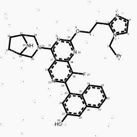 CC(C)Cn1ccnc1CCOc1nc(N2CC3CCC(C2)N3)c2cnc(-c3cc(O)cc4ccccc34)c(F)c2n1